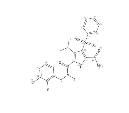 CC(C)c1c(C(=O)N(C)Cc2ccnc(Cl)c2F)[nH]c(C(N)=O)c1S(=O)(=O)c1ccccc1